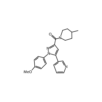 COc1ccc(-n2nc(C(=O)N3CCC(C)CC3)cc2-c2cccnc2)cc1